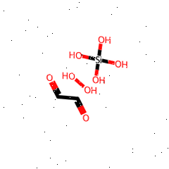 O=CC=O.OO.O[Si](O)(O)O